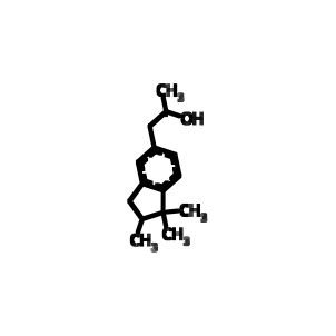 C[C](O)Cc1ccc2c(c1)CC(C)C2(C)C